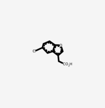 O=C(O)Cc1coc2ccc(Cl)cc12